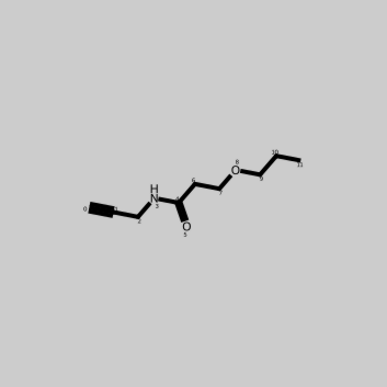 C#CCNC(=O)CCOCCC